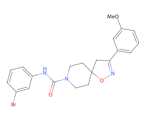 COc1cccc(C2=NOC3(CCN(C(=O)Nc4cccc(Br)c4)CC3)C2)c1